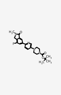 CN1Cc2c(F)cc(-c3ccc(N4CCN(C(=O)OC(C)(C)C)CC4)cn3)cc2C1=O